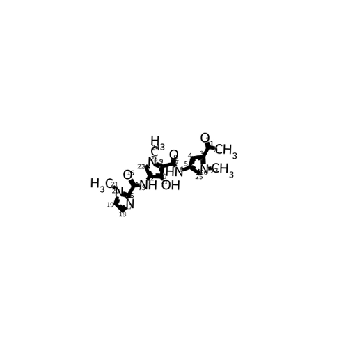 CC(=O)c1cc(NC(=O)c2c(O)c(NC(=O)c3nccn3C)cn2C)cn1C